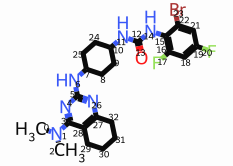 CN(C)c1nc(NC2CCC(NC(=O)Nc3c(F)cc(F)cc3Br)CC2)nc2c1CCCC2